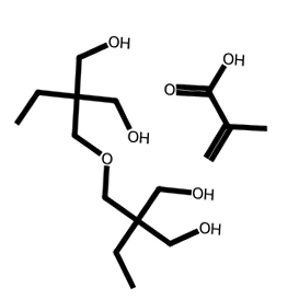 C=C(C)C(=O)O.CCC(CO)(CO)COCC(CC)(CO)CO